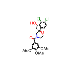 COc1cc(C(=O)N2CCO[C@](CCO)(c3ccc(Cl)c(Cl)c3)C2)cc(OC)c1OC